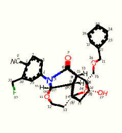 N#Cc1ccc(N2C(=O)[C@H]3[C@H]4[C@@H]2OCC[C@]42C[C@@H](O)[C@@]3(COCc3ccccc3)O2)cc1CF